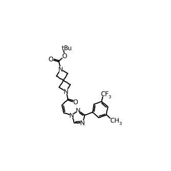 Cc1cc(-c2ncn(/C=C\C(=O)N3CC4(C3)CN(C(=O)OC(C)(C)C)C4)n2)cc(C(F)(F)F)c1